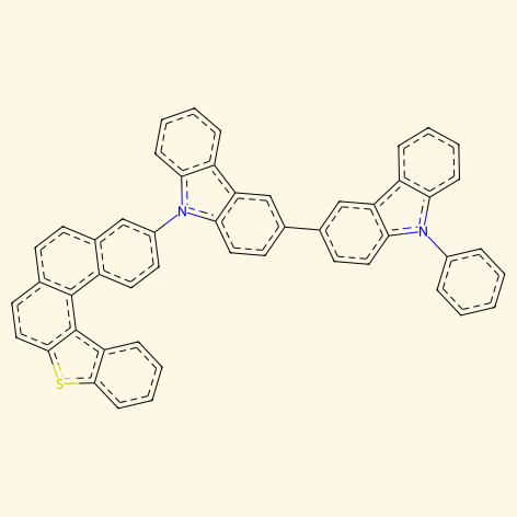 c1ccc(-n2c3ccccc3c3cc(-c4ccc5c(c4)c4ccccc4n5-c4ccc5c(ccc6ccc7sc8ccccc8c7c65)c4)ccc32)cc1